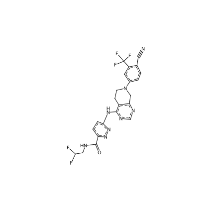 N#Cc1ccc(N2CCc3c(ncnc3Nc3ccc(C(=O)NCC(F)F)nn3)C2)cc1C(F)(F)F